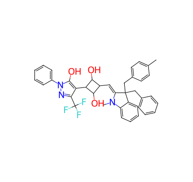 Cc1ccc(CC2(Cc3ccccc3)C(=CC3C(O)C(c4c(C(F)(F)F)nn(-c5ccccc5)c4O)C3O)N(C)c3ccccc32)cc1